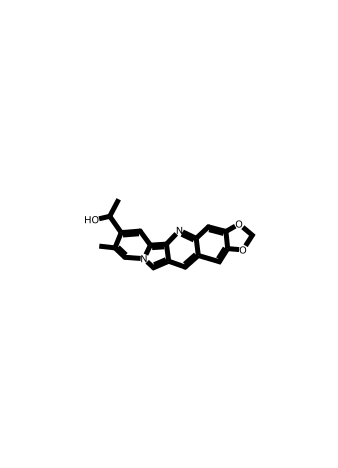 Cc1cn2cc3cc4cc5c(cc4nc3c2cc1C(C)O)OCO5